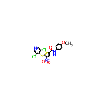 COc1ccc(NC(=O)c2cc([N+](=O)[O-])c(Sc3c(Cl)cncc3Cl)s2)cc1